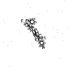 O=C(Nc1ccc(N2CCN(C(=O)c3ccccc3C(F)(F)F)CC2)nn1)c1ccc(F)cc1